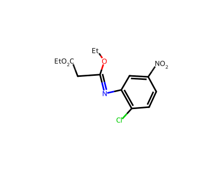 CCOC(=O)CC(=Nc1cc([N+](=O)[O-])ccc1Cl)OCC